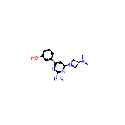 CNC1CN(c2cc(-c3cccc(O)c3)nc(N)n2)C1